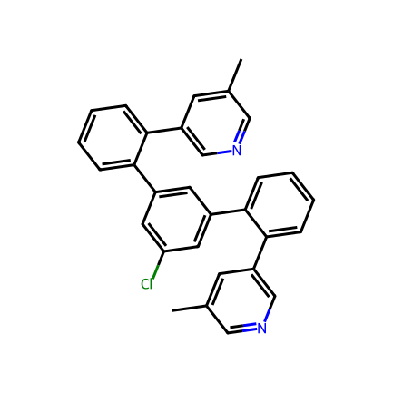 Cc1cncc(-c2ccccc2-c2cc(Cl)cc(-c3ccccc3-c3cncc(C)c3)c2)c1